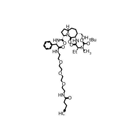 C#CCCC(=O)NCCOCCOCCOCCNC(=O)[C@@H](NC(=O)[C@@H]1CC[C@@H]2CC[C@H](CO)[C@H](NC(=O)[C@H](CC)N(C)C(=O)OC(C)(C)C)C(=O)N21)c1ccccc1